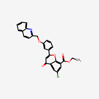 CCOC(=O)c1cc(Br)cc2c(=O)cc(-c3cccc(OCc4ccc5ccccc5n4)c3)oc12